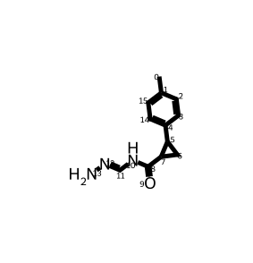 Cc1ccc(C2CC2C(=O)NC=NN)cc1